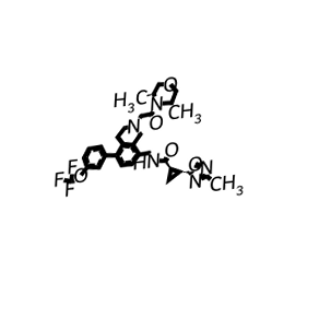 Cc1noc([C@@H]2C[C@H]2C(=O)NCc2ccc(-c3cccc(OC(F)(F)F)c3)c3c2CN(CC(=O)N2[C@H](C)COC[C@H]2C)CC3)n1